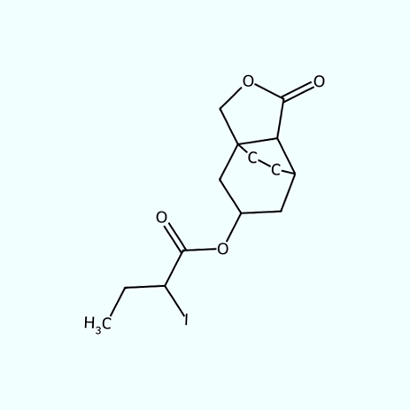 CCC(I)C(=O)OC1CC2CCC3(COC(=O)C23)C1